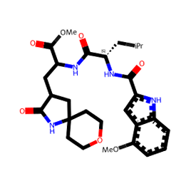 COC(=O)C(CC1CC2(CCOCC2)NC1=O)NC(=O)[C@H](CC(C)C)NC(=O)c1cc2c(OC)cccc2[nH]1